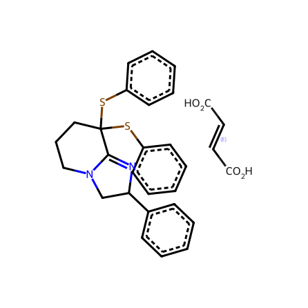 O=C(O)/C=C/C(=O)O.c1ccc(SC2(Sc3ccccc3)CCCN3CC(c4ccccc4)N=C32)cc1